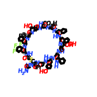 CCCC[C@H]1C(=O)N2C[C@@H](O)C[C@@H]2C(=O)N[C@@H](CC(=O)O)C(=O)N[C@@H](C(C)C)C(=O)N(C)[C@@H](Cc2ccccc2)C(=O)N[C@@H](Cc2ccc(O)cc2)C(=O)N2C[C@@H](O)C[C@@H]2C(=O)N[C@@H](Cc2c[nH]c3ccccc23)C(=O)N[C@@H](Cc2ccc(O)cc2)C(=O)N[C@@H](CC(C)C)C(=O)N[C@H](C(=O)NCC(N)=O)CSCC(=O)N[C@@H](Cc2cc(F)c(F)c(F)c2)C(=O)N(C)[C@@H](Cc2ccccc2)C(=O)N1C